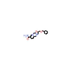 NC(=O)C1=CN2CC3OC(COCc4ccccc4)CN3CC2=CC1